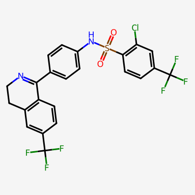 O=S(=O)(Nc1ccc(C2=NCCc3cc(C(F)(F)F)ccc32)cc1)c1ccc(C(F)(F)F)cc1Cl